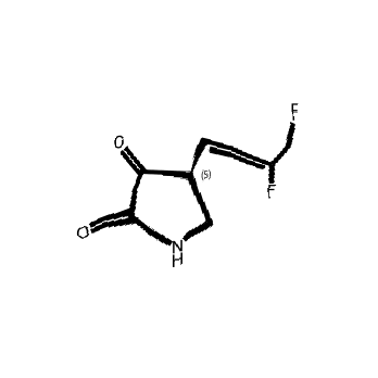 O=C1NC[C@H](C=C(F)F)C1=O